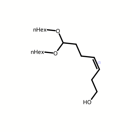 CCCCCCOC(CC/C=C\CCO)OCCCCCC